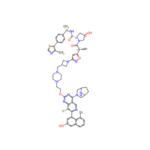 CCc1cccc2cc(O)cc(-c3ncc4c(N5CC6CCC(C5)N6)nc(OCCN5CCN(CC6CN(c7cc([C@@H](C(=O)N8C[C@H](O)C[C@H]8C(=O)N[C@@H](C)c8ccc(-c9scnc9C)cc8)C(C)C)on7)C6)CC5)nc4c3F)c12